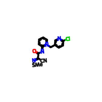 CS/N=C(\C#N)C(=O)/N=c1\ccccn1Cc1ccc(Cl)nc1